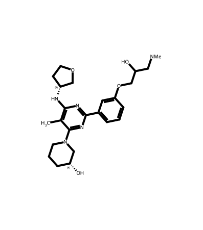 CNCC(O)COc1cccc(-c2nc(N[C@@H]3CCOC3)c(C)c(N3CCC[C@@H](O)C3)n2)c1